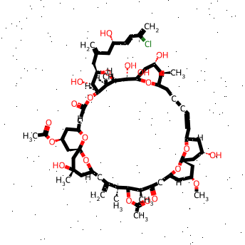 C=C(Cl)/C=C/[C@@H](O)CC(=C)C[C@H]1O[C@@H]2[C@H](C)[C@@H](OC(=O)C[C@@H]3C[C@H](OC(C)=O)C[C@@]4(C[C@@](C)(O)C[C@H](CC(=C)[C@@H](C)C(OC(C)=O)[C@H](C)C(=O)C[C@@H]5C[C@H](OC)C[C@@]6(C[C@@H](O)C[C@H](/C=C\CCC[C@H]7O[C@](O)(C[C@H](O)[C@H]7C)[C@H]2O)O6)O5)O4)O3)[C@@H]1O